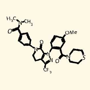 COc1ccc(-n2nc(C(F)(F)F)c3c2C(=O)N(c2ccc(C(=O)N(C)C)cc2)CC3)c(C(=O)N2CCSCC2)c1